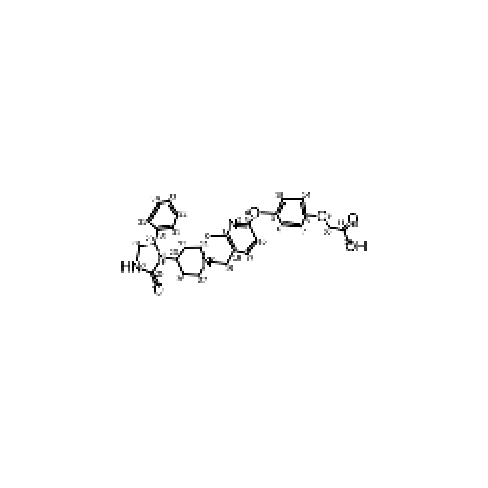 Cc1nc(Oc2ccc(OCC(=O)O)cc2)ccc1CN1CCC(N2C(=O)NC[C@H]2c2ccccc2)CC1